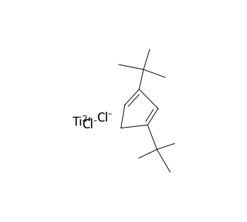 CC(C)(C)C1=CCC(C(C)(C)C)=C1.[Cl-].[Cl-].[Ti+2]